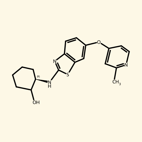 Cc1cc(Oc2ccc3nc(N[C@@H]4CCCCC4O)sc3c2)ccn1